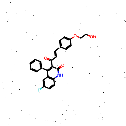 O=C(/C=C/c1ccc(OCCO)cc1)c1c(-c2ccccc2)c2cc(F)ccc2[nH]c1=O